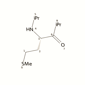 CSCC[C@H](NC(C)C)C(=O)C(C)C